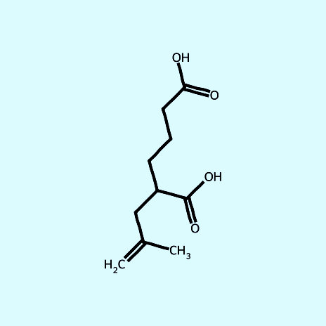 C=C(C)CC(CCCC(=O)O)C(=O)O